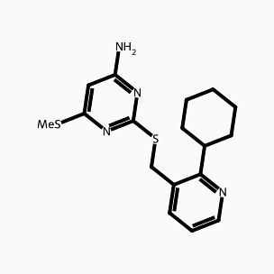 CSc1cc(N)nc(SCc2cccnc2C2CCCCC2)n1